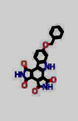 O=c1[nH]c(=O)c2c1c1[nH]c3cc(OCc4ccccc4)ccc3c1c1c(=O)[nH]c(=O)c21